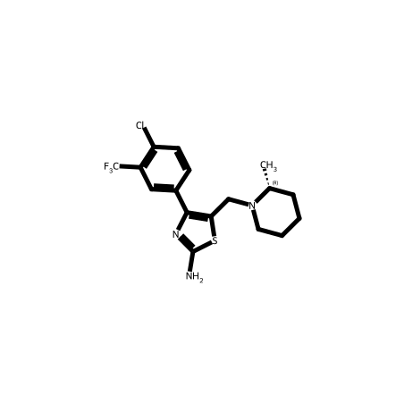 C[C@@H]1CCCCN1Cc1sc(N)nc1-c1ccc(Cl)c(C(F)(F)F)c1